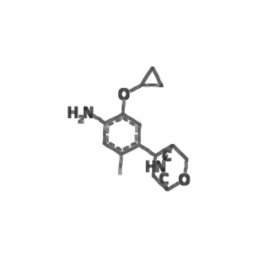 Cc1cc(N)c(OC2CC2)cc1C1CC2CNCC1CO2